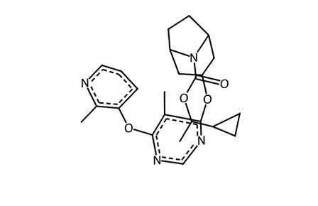 Cc1ncccc1Oc1ncnc(OC2CC3CCC(C2)N3C(=O)OC(C)C2CC2)c1C